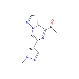 CC(=O)c1nc(-c2cnn(C)c2)cn2nccc12